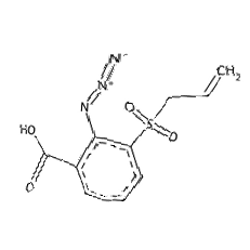 C=CCS(=O)(=O)c1cccc(C(=O)O)c1N=[N+]=[N-]